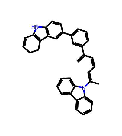 C=C(/C=C\C=C(/C)n1c2ccccc2c2ccccc21)c1cccc(-c2ccc3[nH]c4c(c3c2)CCC=C4)c1